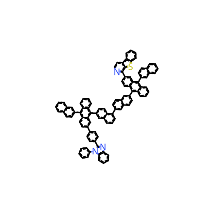 c1ccc(-n2c(-c3ccc(-c4ccc5c(-c6ccc7ccccc7c6)c6ccccc6c(-c6ccc7c(-c8ccc9cc(-c%10c%11ccccc%11c(-c%11ccc%12ccccc%12c%11)c%11cc(-c%12nccc%13c%12sc%12ccccc%12%13)ccc%10%11)ccc9c8)cccc7c6)c5c4)cc3)nc3ccccc32)cc1